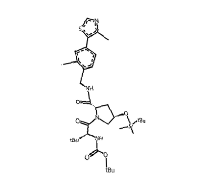 [CH2]c1cc(-c2scnc2C)ccc1CNC(=O)[C@@H]1C[C@@H](O[Si](C)(C)C(C)(C)C)CN1C(=O)[C@@H](NC(=O)OC(C)(C)C)C(C)(C)C